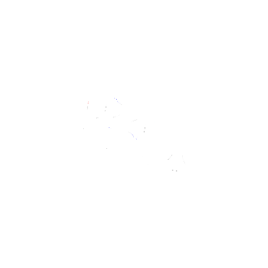 Cc1ncc(-c2cnc(OC3CCC3c3ccc(F)cc3)c(F)c2)c(N2CCC(C)(C)CC2)c1[C@H](OC(C)(C)C)C(=O)O